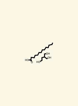 CCCCCCCCCCCCCC(=O)O.OCCC(CO)CO